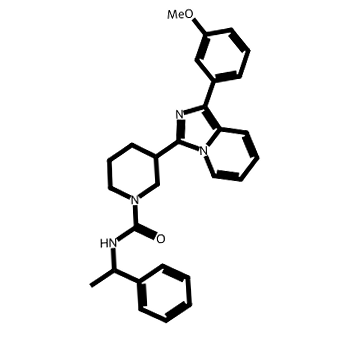 COc1cccc(-c2nc(C3CCCN(C(=O)NC(C)c4ccccc4)C3)n3ccccc23)c1